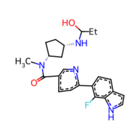 CCC(O)N[C@H]1CC[C@@H](N(C)C(=O)c2ccc(-c3ccc4cc[nH]c4c3F)nc2)C1